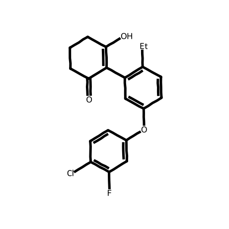 CCc1ccc(Oc2ccc(Cl)c(F)c2)cc1C1=C(O)CCCC1=O